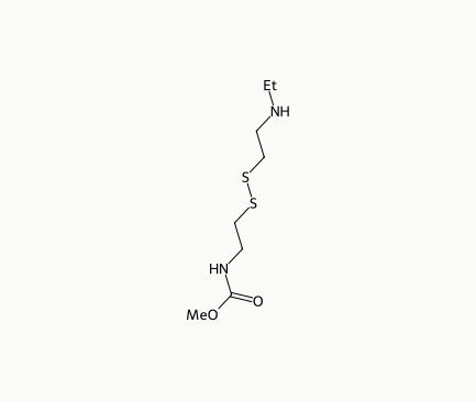 CCNCCSSCCNC(=O)OC